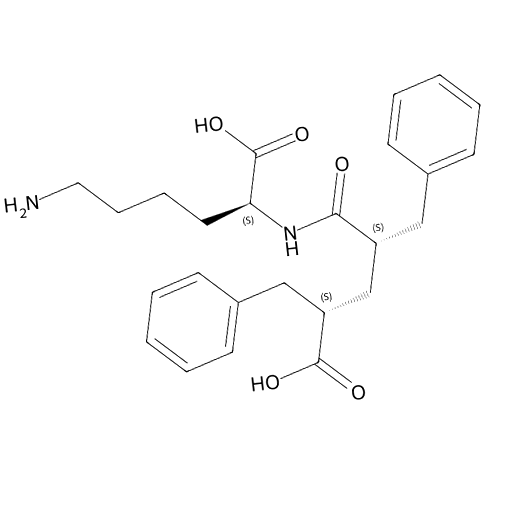 NCCCC[C@H](NC(=O)[C@H](Cc1ccccc1)C[C@@H](Cc1ccccc1)C(=O)O)C(=O)O